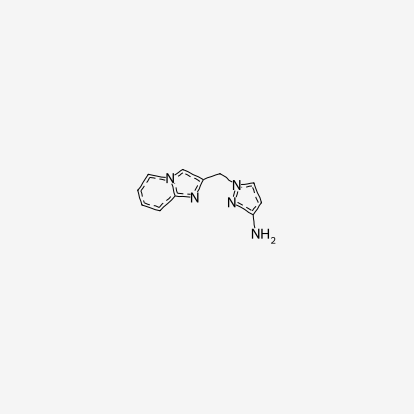 Nc1ccn(Cc2cn3ccccc3n2)n1